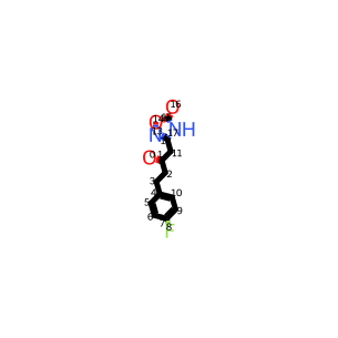 O=C(CCc1ccc(F)cc1)Cc1noc(=O)[nH]1